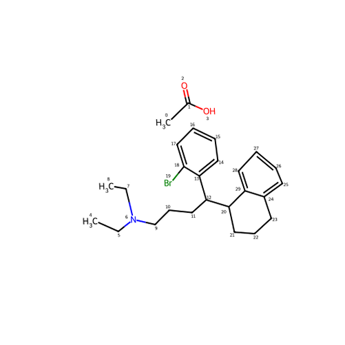 CC(=O)O.CCN(CC)CCCC(c1ccccc1Br)C1CCCc2ccccc21